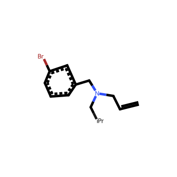 C=CCN(Cc1cccc(Br)c1)CC(C)C